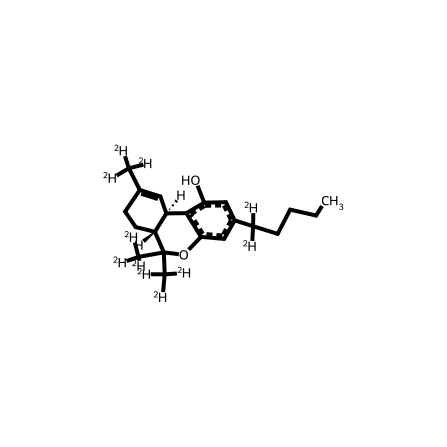 [2H]C([2H])([2H])C1=C[C@H]2c3c(O)cc(C([2H])([2H])CCCC)cc3OC(C([2H])([2H])[2H])(C([2H])([2H])[2H])[C@@H]2CC1